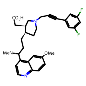 CNC(CC[C@@H]1CCN(CC#Cc2cc(F)cc(F)c2)C[C@@H]1CC(=O)O)c1ccnc2ccc(OC)cc12